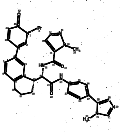 CC(C)n1cc(-c2ccc3c(c2)[C@H]([C@H](NC(=O)c2ccnn2C)C(=O)Nc2ccc(-c4cncn4C)cc2)CCC3)ccc1=O